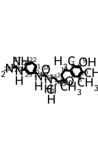 Cc1c(C)c2c(c(C)c1O)CCC(C)(CCNC(=O)Nc1cccc(NC(=N)N)c1)O2.Cl